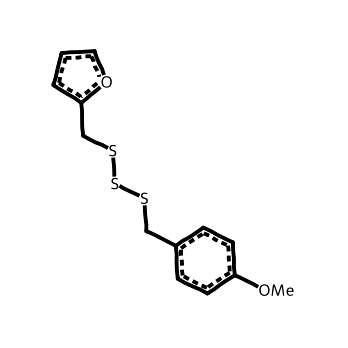 COc1ccc(CSSSCc2ccco2)cc1